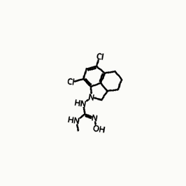 CNC(=NO)NN1CC2CCCc3c(Cl)cc(Cl)c1c32